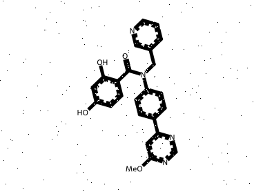 COc1cc(-c2ccc(N(Cc3cccnc3)C(=O)c3ccc(O)cc3O)cc2)ncn1